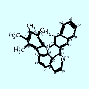 Cc1c(C)c(C)c2c(c1C)c1ccc3ccnc4c5cc6ccccc6cc5n2c1c34